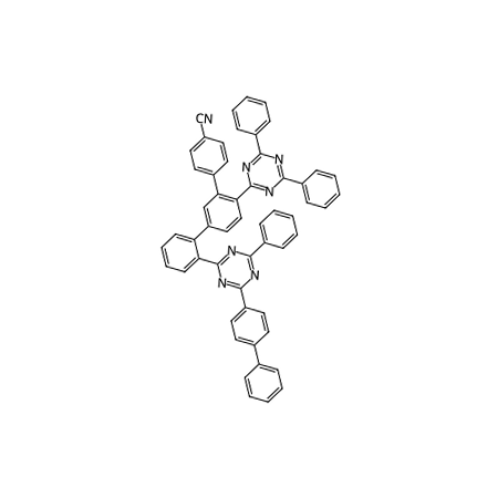 N#Cc1ccc(-c2cc(-c3ccccc3-c3nc(-c4ccccc4)nc(-c4ccc(-c5ccccc5)cc4)n3)ccc2-c2nc(-c3ccccc3)nc(-c3ccccc3)n2)cc1